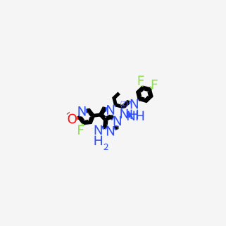 CCC(/C(=C/Nc1ccc(F)c(F)c1)N=N)n1cc(-c2cnc(OC)c(F)c2)c2c(N)ncnc21